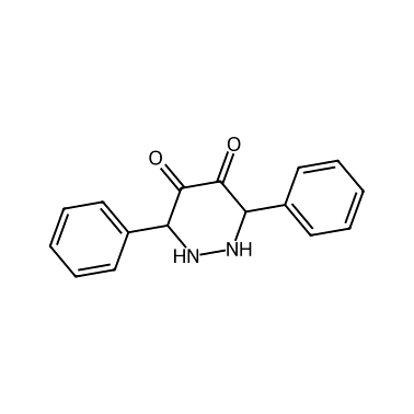 O=C1C(=O)C(c2ccccc2)NNC1c1ccccc1